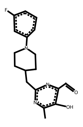 Cc1nc(CC2CCN(c3cccc(F)c3)CC2)nc([C]=O)c1O